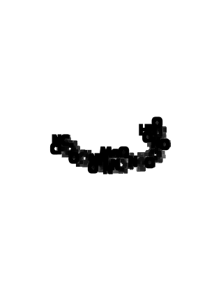 COCCN(CC1CCN(c2cnc(C(=O)NC3CCC(Oc4ccc(C#N)c(Cl)c4)CC3)cn2)CC1)C1CC(Oc2ccc3c(c2)CN([C@@H]2CCC(=O)NC2=O)C3=O)C1